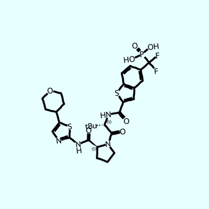 CC(C)(C)[C@H](NC(=O)c1cc2cc(C(F)(F)P(=O)(O)O)ccc2s1)C(=O)N1CCC[C@H]1C(=O)Nc1ncc(C2CCOCC2)s1